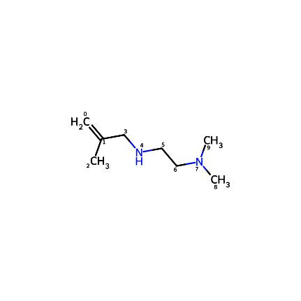 C=C(C)CNCCN(C)C